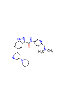 CN(C)Cc1ccc(NC(=O)c2n[nH]c3ccc(-c4cncc(N5CCCCC5)c4)cc23)cn1